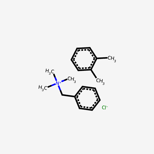 C[N+](C)(C)Cc1ccccc1.Cc1ccccc1C.[Cl-]